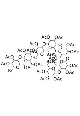 CC(=O)OC[C@H]1O[C@H](Br)[C@H](OC(C)=O)[C@@H](OC(C)=O)[C@@H]1O[C@@H]1O[C@H](COC(C)=O)[C@@H](O[C@@H]2O[C@H](COC(C)=O)[C@@H](O[C@@H]3O[C@H](COC(C)=O)[C@@H](O[C@@H]4O[C@H](COC(C)=O)[C@@H](O[C@@H]5O[C@H](COC(C)=O)[C@@H](O[C@@H]6O[C@H](COC(C)=O)[C@@H](OC(C)=O)[C@H](OC(C)=O)[C@H]6OC(C)=O)[C@H](OC(C)=O)[C@H]5OC(C)=O)[C@H](OC(C)=O)[C@H]4OC(C)=O)[C@H](OC(C)=O)[C@H]3OC(C)=O)[C@H](OC(C)=O)[C@H]2OC(C)=O)[C@H](OC(C)=O)[C@H]1OC(C)=O